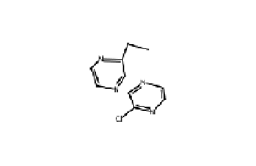 CCc1cnccn1.Clc1cnccn1